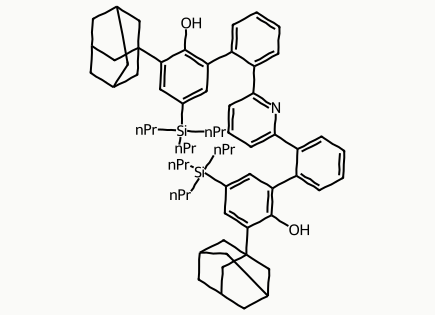 CCC[Si](CCC)(CCC)c1cc(-c2ccccc2-c2cccc(-c3ccccc3-c3cc([Si](CCC)(CCC)CCC)cc(C45CC6CC(CC(C6)C4)C5)c3O)n2)c(O)c(C23CC4CC(CC(C4)C2)C3)c1